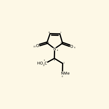 CNCC(C(=O)O)N1C(=O)C=CC1=O